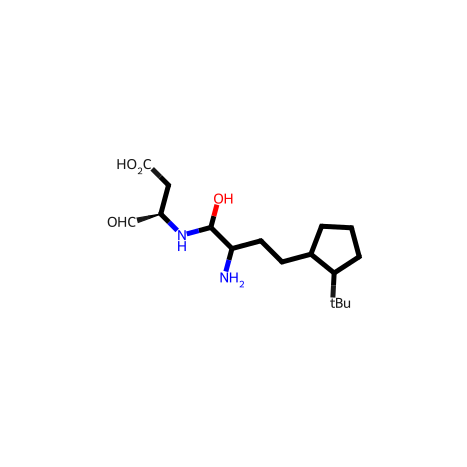 CC(C)(C)C1CCCC1CCC(N)C(O)N[C@@H](C=O)CC(=O)O